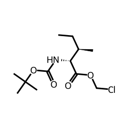 CC[C@@H](C)[C@@H](NC(=O)OC(C)(C)C)C(=O)OCCl